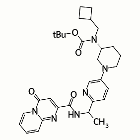 CC(NC(=O)c1cc(=O)n2ccccc2n1)c1ccc(N2CCC[C@@H](N(CC3CCC3)C(=O)OC(C)(C)C)C2)cn1